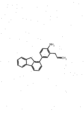 C=CCc1cc(-c2cccc3c2Cc2ccccc2-3)ccc1N